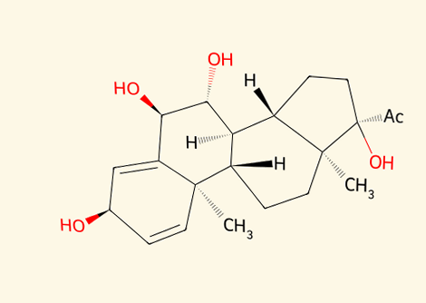 CC(=O)[C@@]1(O)CC[C@H]2[C@@H]3[C@@H](O)[C@H](O)C4=C[C@H](O)C=C[C@]4(C)[C@H]3CC[C@@]21C